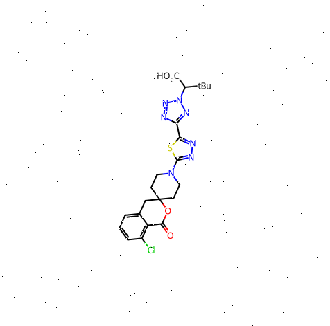 CC(C)(C)C(C(=O)O)n1nnc(-c2nnc(N3CCC4(CC3)Cc3cccc(Cl)c3C(=O)O4)s2)n1